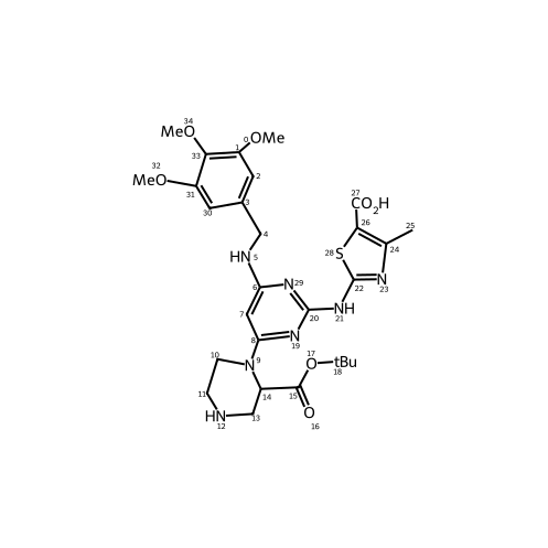 COc1cc(CNc2cc(N3CCNCC3C(=O)OC(C)(C)C)nc(Nc3nc(C)c(C(=O)O)s3)n2)cc(OC)c1OC